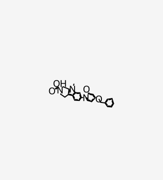 Cn1c2c(c3ccc(-n4ccc(OCc5ccccc5)cc4=O)cc31)CCN(C(=O)O)C2